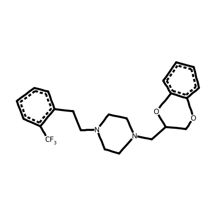 FC(F)(F)c1ccccc1CCN1CCN(CC2COc3ccccc3O2)CC1